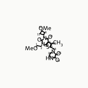 COCCn1c(=O)n([C@H]2C[C@H](OC)C2)c(=O)c2c(C)c(CN3CCNC(=O)C3=O)sc21